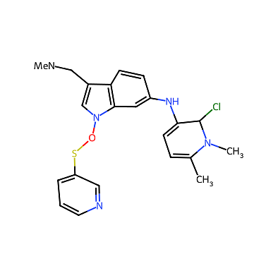 CNCc1cn(OSc2cccnc2)c2cc(NC3=CC=C(C)N(C)C3Cl)ccc12